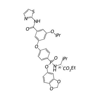 CCOC(=O)[C@H](NP(=O)(Oc1ccc2c(c1)OCO2)c1ccc(Oc2cc(OC(C)C)cc(C(=O)Nc3nccs3)c2)cc1)C(C)C